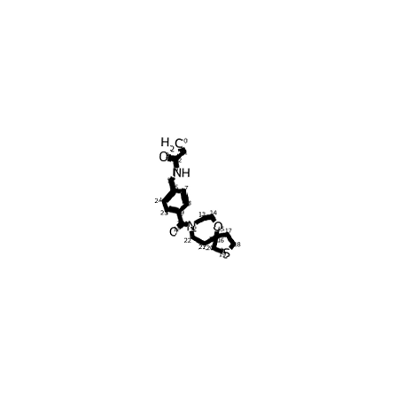 C=CC(=O)NCc1ccc(C(=O)N2CCOC3(CCSC3)CC2)cc1